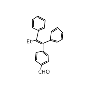 CCC(=C(c1ccccc1)c1ccc(C=O)cc1)c1ccccc1